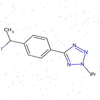 CC(I)c1ccc(-c2nnn(C(C)C)n2)cc1